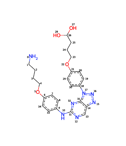 NCCCCOc1ccc(Nc2ncc3nnn(-c4ccc(OCCCC(O)O)cc4)c3n2)cc1